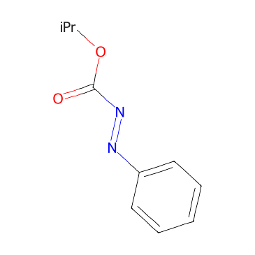 CC(C)OC(=O)/N=N/c1ccccc1